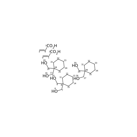 C=CC(=O)O.C=CC(=O)O.OCC1(CO)CCCCC1.OCC1(CO)CCCCC1.OCC1(CO)CCCCC1